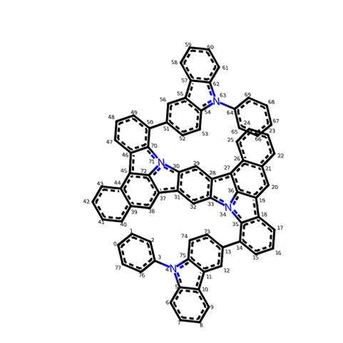 c1ccc(-n2c3ccccc3c3cc(-c4cccc5c6cc7ccccc7c7c8cc9c(cc8n(c45)c67)c4cc5ccccc5c5c6cccc(-c7ccc8c(c7)c7ccccc7n8-c7ccccc7)c6n9c45)ccc32)cc1